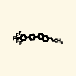 CCCc1ccc2cc(-c3ccc(-c4cc(F)c(C(F)(F)F)c(F)c4)cc3)ccc2c1